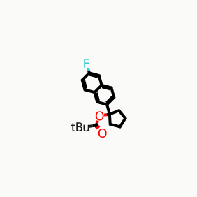 CC(C)(C)C(=O)OC1(c2ccc3cc(F)ccc3c2)CCCC1